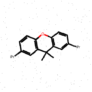 CC(C)c1ccc2c(c1)C(C)(C)c1cc(C(C)C)ccc1O2